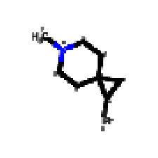 CC(C)C1CC12CCN(C)CC2